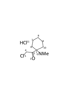 CNC1(C(=O)CCl)CCCCC1.Cl